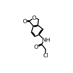 O=C(CCl)Nc1ccc2c(c1)COC2=O